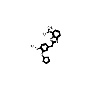 COc1ccc(Cc2nc3cccc(N(C)C)c3o2)cc1OC1CCCC1